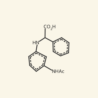 CC(=O)Nc1cccc(NC(C(=O)O)c2ccccc2)c1